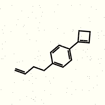 C=CCCc1ccc(C2=CCC2)cc1